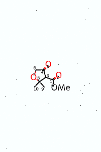 COC(=O)C1C(=O)COC1(C)C